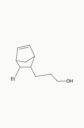 CCC1C2C=CC(C2)C1CCCO